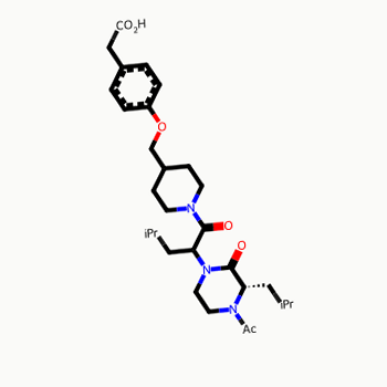 CC(=O)N1CCN(C(CC(C)C)C(=O)N2CCC(COc3ccc(CC(=O)O)cc3)CC2)C(=O)[C@@H]1CC(C)C